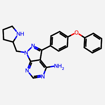 Nc1ncnc2c1c(-c1ccc(Oc3ccccc3)cc1)nn2CC1CCCN1